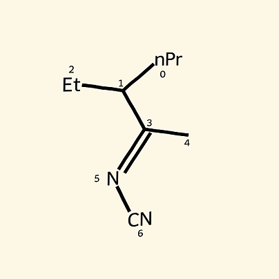 CCCC(CC)/C(C)=N/C#N